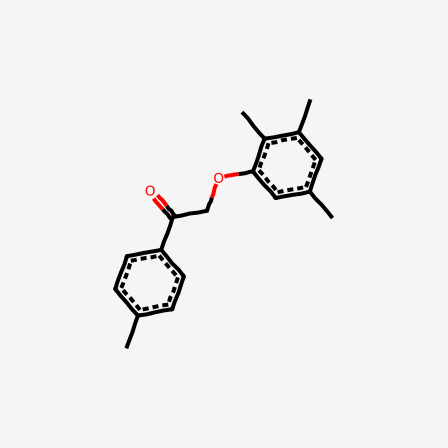 Cc1ccc(C(=O)COc2cc(C)cc(C)c2C)cc1